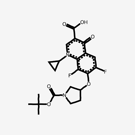 CC(C)(C)OC(=O)N1CCC(Oc2c(F)cc3c(=O)c(C(=O)O)cn(C4CC4)c3c2F)C1